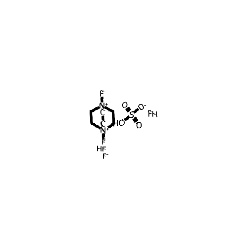 F.F.F[N+]12CC[N+](F)(CC1)CC2.O=S(=O)([O-])O.[F-]